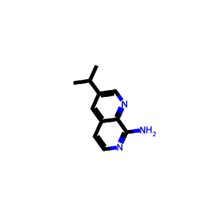 CC(C)c1cnc2c(N)nccc2c1